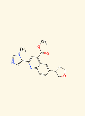 COC(=O)c1cc(-c2cncn2C)nc2ccc(C3CCOC3)cc12